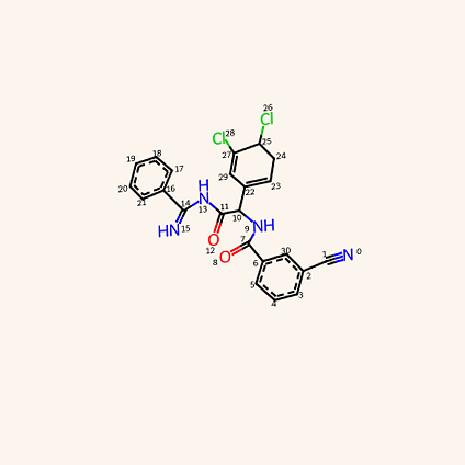 N#Cc1cccc(C(=O)NC(C(=O)NC(=N)c2ccccc2)C2=CCC(Cl)C(Cl)=C2)c1